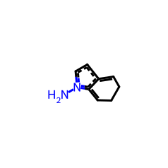 Nn1ccc2c1=CCCC=2